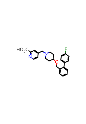 O=C(O)c1cc(CN2CCC(OCc3ccccc3-c3ccc(F)cc3)CC2)ccn1